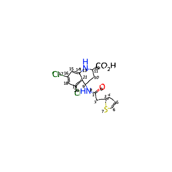 O=C(Cc1cccs1)NC1CC(C(=O)O)Nc2cc(Cl)cc(Cl)c21